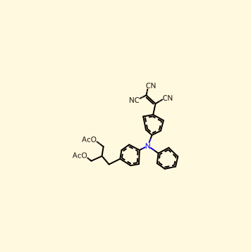 CC(=O)OCC(COC(C)=O)Cc1ccc(N(c2ccccc2)c2ccc(C(C#N)=C(C#N)C#N)cc2)cc1